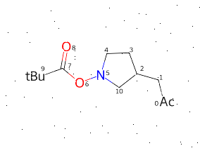 CC(=O)CC1CCN(OC(=O)C(C)(C)C)C1